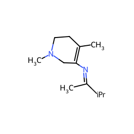 CC1=C(/N=C(\C)C(C)C)CN(C)CC1